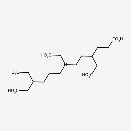 O=C(O)CCC(CCN(CCCC(CC(=O)O)CC(=O)O)CC(=O)O)CC(=O)O